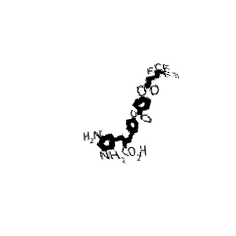 Nc1cc(N)cc(C/C(=C\c2ccc(OC(=O)c3ccc(OC(=O)CCC(F)(F)C(F)(F)F)cc3)cc2)C(=O)O)c1